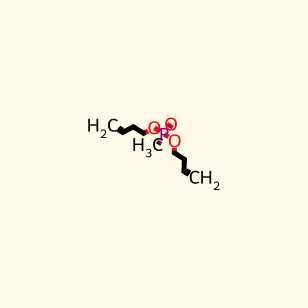 C=CCCOP(C)(=O)OCCC=C